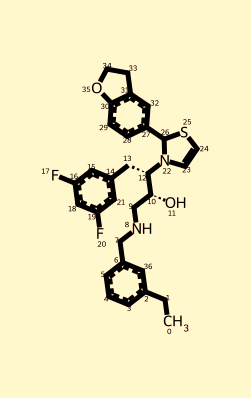 CCc1cccc(CNC[C@@H](O)[C@H](Cc2cc(F)cc(F)c2)N2C=CSC2c2ccc3c(c2)CCO3)c1